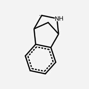 [CH]1NC2CC1c1ccccc12